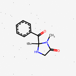 CN1C(=O)CNC1(C(=O)c1ccccc1)C(C)(C)C